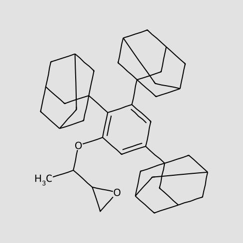 CC(Oc1cc(C23CC4CC(CC(C4)C2)C3)cc(C23CC4CC(CC(C4)C2)C3)c1C12CC3CC(CC(C3)C1)C2)C1CO1